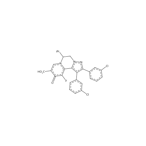 CC(C)C1Cn2nc(-c3cccc(Cl)c3)c(-c3cccc(Cl)c3)c2-c2c(F)c(=O)c(C(=O)O)cn21